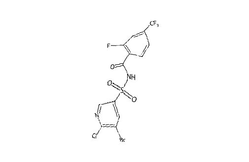 O=C(NS(=O)(=O)c1cnc(Cl)c(Br)c1)c1ccc(C(F)(F)F)cc1F